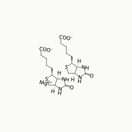 O=C([O-])CCCC[C@@H]1SC[C@@H]2NC(=O)N[C@@H]21.O=C([O-])CCCC[C@@H]1SC[C@@H]2NC(=O)N[C@@H]21.[Mg+2]